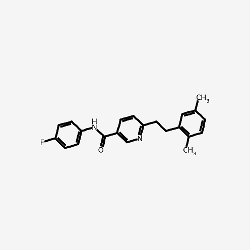 Cc1ccc(C)c(CCc2ccc(C(=O)Nc3ccc(F)cc3)cn2)c1